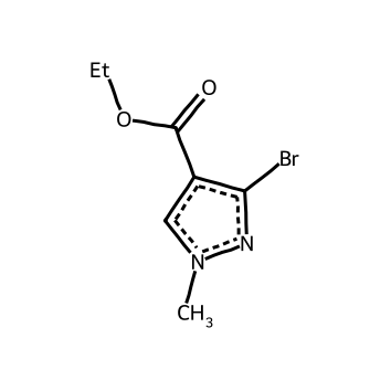 CCOC(=O)c1cn(C)nc1Br